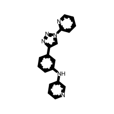 c1ccc(-n2cc(-c3cccc(Nc4cccnc4)c3)nn2)nc1